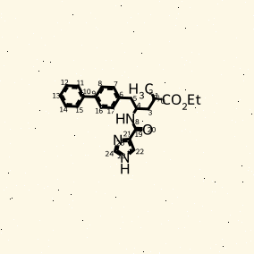 CCOC(=O)[C@H](C)CC(Cc1ccc(-c2ccccc2)cc1)NC(=O)c1c[nH]cn1